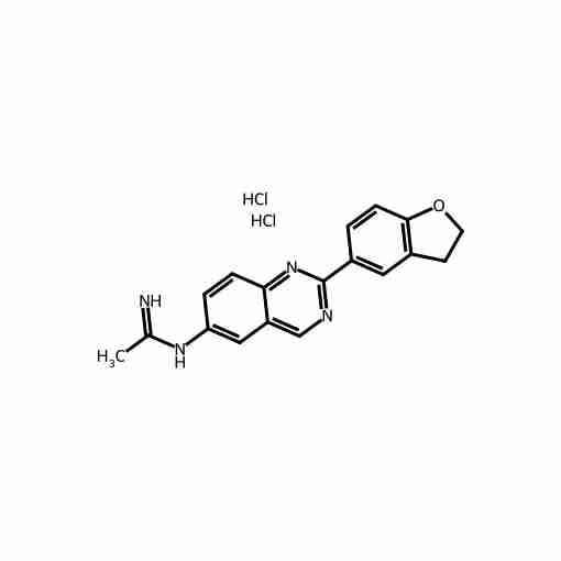 CC(=N)Nc1ccc2nc(-c3ccc4c(c3)CCO4)ncc2c1.Cl.Cl